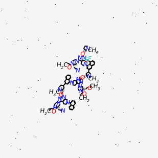 C=CC(=O)N1CCN(c2nc(OC[C@H]3CC(c4cc(N5CCc6c(nc(OC[C@@H]7CC(c8cc(N9CCc%10c(nc(OC[C@@H]%11CCCN%11C)nc%10N%10CCN(C(=O)C=C)[C@@H](CC#N)C%10)C9)c9c(C(F)(F)F)cccc9c8)CN7C)nc6N6CCN(C(=O)C=C)[C@@H](CCOC)C6)C5)c5ccccc5c4)CCN3C)nc3c2CCN(c2cccc4ccccc24)C3)C[C@@H]1CC#N